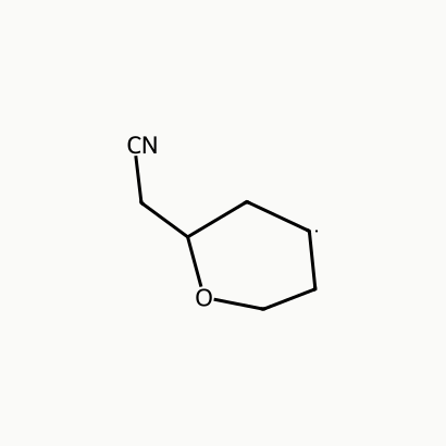 N#CCC1C[CH]CCO1